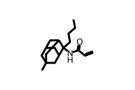 C=CC(=O)NC1(CCCC)C2CC3CC1CC(C)(C3)C2